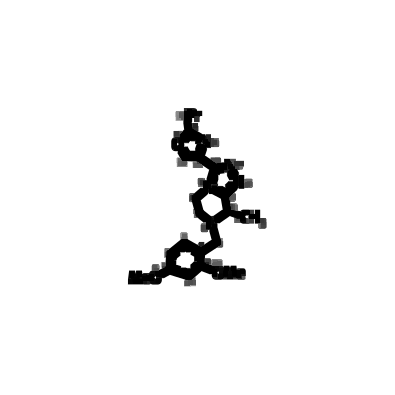 COc1ccc(CN2CCn3c(-c4coc(C(C)C)n4)nnc3[C@H]2C)c(OC)c1